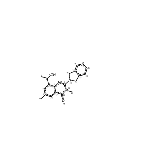 Cc1cc(C(C)O)c2nc(N3Cc4ccccc4C3)n(C)c(=O)c2c1